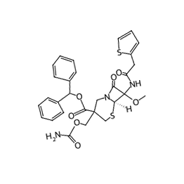 COC1(NC(=O)Cc2cccs2)C(=O)N2CC(COC(N)=O)(C(=O)OC(c3ccccc3)c3ccccc3)CS[C@@H]21